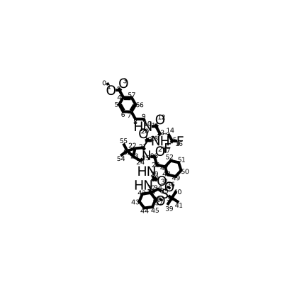 COC(=O)c1ccc(CCNC(=O)[C@H](CC(F)F)NC(=O)[C@@H]2C3C(CN2C(=O)[C@@H](NC(=O)NC2(CS(=O)(=O)C(C)(C)C)CCCCC2)C2CCCCC2)C3(C)C)cc1